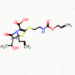 C=CCOC(=O)NCCSC1=C(C(=O)O)N2C(=O)[C@H](C(C)O)[C@@]2(CC=C)S1